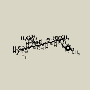 COc1ccc(CC2OCC(C)(C)[C@H](C(=O)NCCC(=O)NCC[SH]=C(O)[C@H](CCCNC(=O)OC(C)(C)C)NC(=O)OC(C)(C)C)O2)cc1